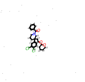 O=C(c1ccccc1)N1CCCC(CCOC2CCCCO2)(c2ccc(Cl)c(Cl)c2)C1